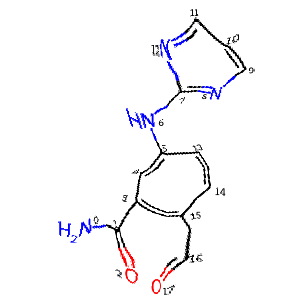 NC(=O)c1cc(Nc2ncccn2)ccc1C=O